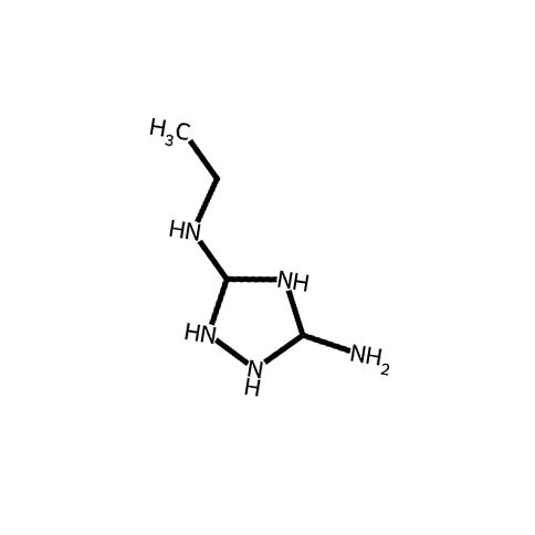 CCNC1NNC(N)N1